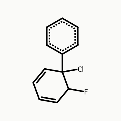 FC1C=CC=CC1(Cl)c1ccccc1